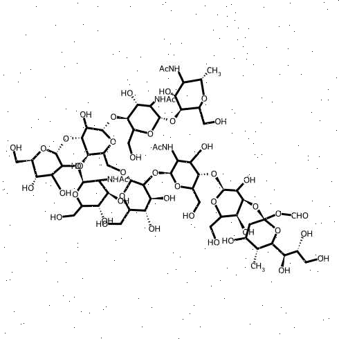 CC(=O)NC1C(O)[C@H](O[C@@H]2OC(CO)[C@H](O)[C@H](O[C@]3(OC=O)CC(O)[C@@H](C)C([C@H](O)[C@H](O)CO)O3)C2O)C(CO)O[C@H]1OC1[C@@H](OCC2O[C@@H](O[C@@H]3C(CO)O[C@@H](O[C@@H]4C(CO)O[C@@H](C)C(NC(C)=O)[C@H]4O)C(NC(C)=O)[C@H]3O)C(O)[C@@H](O[C@H]3O[C@H](CO)[C@@H](O)C(O)C3O[C@@H]3OC(CO)[C@@H](O)[C@H](O)C3NC(C)=O)[C@@H]2O)OC(CO)[C@@H](O)[C@@H]1O